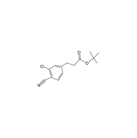 CC(C)(C)OC(=O)CCc1ccc(C#N)c(Cl)c1